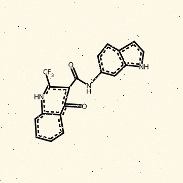 O=C(Nc1ccc2cc[nH]c2c1)c1c(C(F)(F)F)[nH]c2ccccc2c1=O